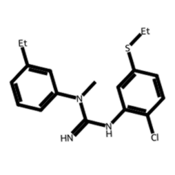 CCSc1ccc(Cl)c(NC(=N)N(C)c2cccc(CC)c2)c1